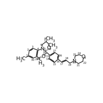 Cc1ccc(N(CC(C)C)S(=O)(=O)c2ccc(/C=C/CN3CCOCC3)cc2)c(C)c1